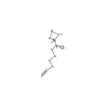 C#CCCCCC(=O)N1CCC1